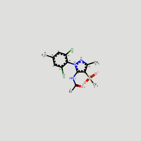 CCC(=O)Nc1c(S(=O)(=O)C(F)(F)F)c(C)nn1-c1c(Cl)cc(C(F)(F)F)cc1Cl